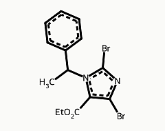 CCOC(=O)c1c(Br)nc(Br)n1C(C)c1ccccc1